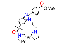 COC(=O)c1ccc(-c2nc3ccc(C(C)(C)C(=O)N(CC(C)C)CC(C)C)cc3n2CCCN2CCCCC2)cc1